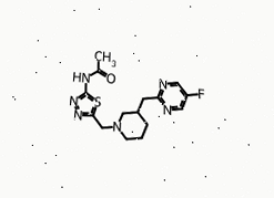 CC(=O)Nc1nnc(CN2CCCC(Cc3ncc(F)cn3)C2)s1